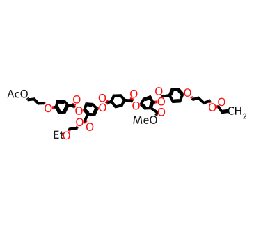 C=CC(=O)OCCCCOc1ccc(C(=O)Oc2ccc(OC(=O)C3CCC(C(=O)Oc4ccc(OC(=O)c5ccc(OCCCCOC(C)=O)cc5)c(C(=O)OCCOCC)c4)CC3)cc2C(=O)OC)cc1